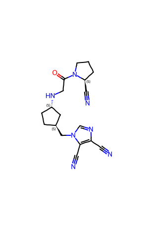 N#Cc1ncn(C[C@H]2CC[C@H](NCC(=O)N3CCC[C@H]3C#N)C2)c1C#N